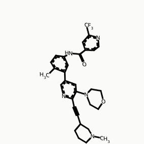 Cc1ccc(NC(=O)c2ccnc(C(F)(F)F)c2)cc1-c1cnc(C#CC2CCCN(C)C2)c(N2CCOCC2)c1